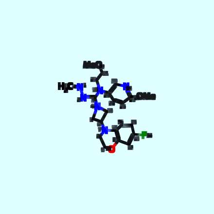 C=N/N=C(/N1CC(N2CCOc3cc(F)ccc32)C1)N(CCOC)c1ccc(OC)nc1